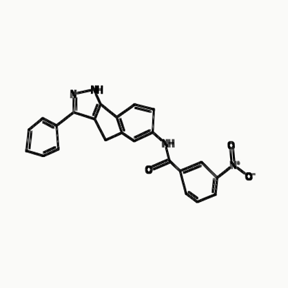 O=C(Nc1ccc2c(c1)Cc1c(-c3ccccc3)n[nH]c1-2)c1cccc([N+](=O)[O-])c1